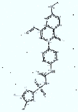 CNc1ccc2c(=O)n(-c3ccc(NC(=O)NS(=O)(=O)c4cc(C)c(C)s4)cc3)cc(C=O)c2c1